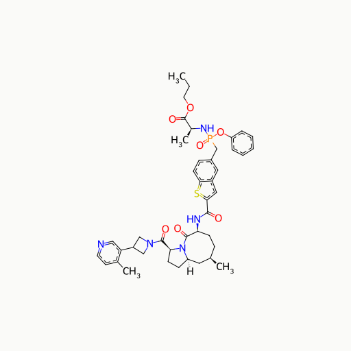 CCCOC(=O)[C@H](C)NP(=O)(Cc1ccc2sc(C(=O)N[C@H]3CC[C@@H](C)C[C@H]4CC[C@@H](C(=O)N5CC(c6cnccc6C)C5)N4C3=O)cc2c1)Oc1ccccc1